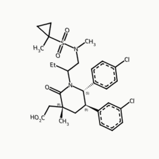 CCC(CN(C)S(=O)(=O)C1(C)CC1)N1C(=O)[C@@](C)(CC(=O)O)C[C@H](c2cccc(Cl)c2)[C@H]1c1ccc(Cl)cc1